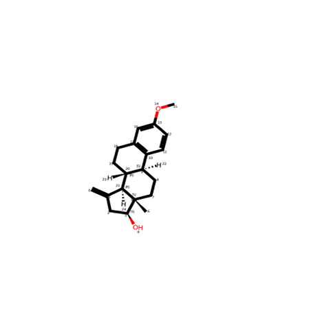 C=C1C[C@H](O)[C@@]2(C)CC[C@@H]3c4ccc(OC)cc4CC[C@H]3[C@H]12